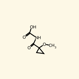 COC1(C(=O)NC(=O)O)CC1